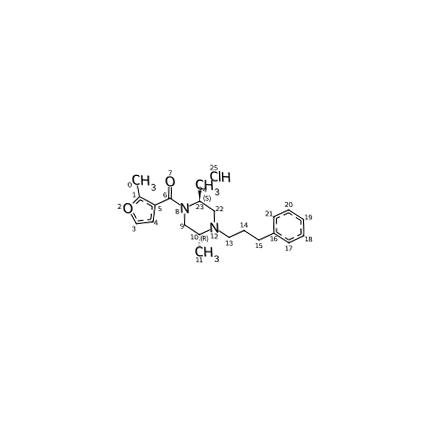 Cc1occc1C(=O)N1C[C@@H](C)N(CCCc2ccccc2)C[C@@H]1C.Cl